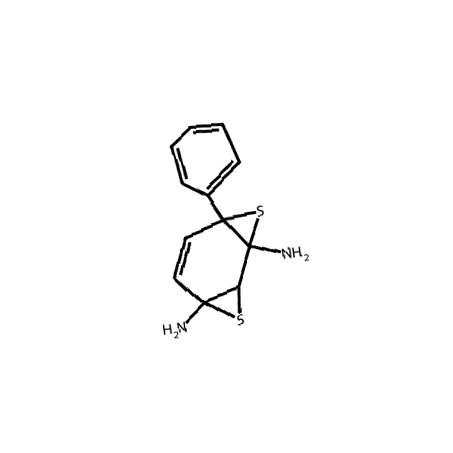 NC12C=CC3(c4ccccc4)SC3(N)C1S2